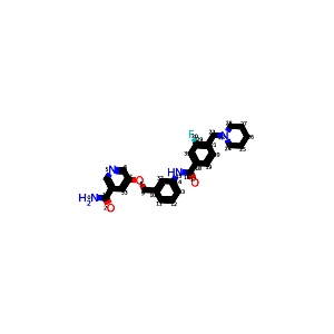 NC(=O)c1cncc(OCc2cccc(NC(=O)c3ccc(CN4CCCCC4)c(F)c3)c2)c1